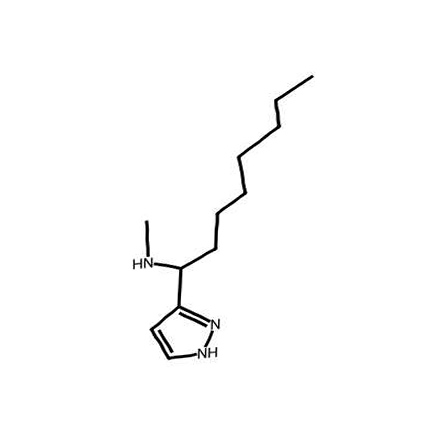 CCCCCCCC(NC)c1cc[nH]n1